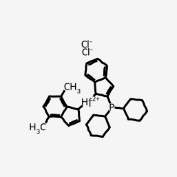 Cc1ccc(C)c2c1C=C[CH]2[Hf+2][CH]1C(P(C2CCCCC2)C2CCCCC2)=Cc2ccccc21.[Cl-].[Cl-]